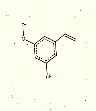 C=[C]c1cc(CCC)cc(OCC)c1